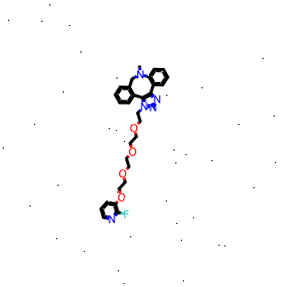 CN1Cc2ccccc2-c2c(nnn2CCOCCOCCOCCOc2cccnc2F)-c2ccccc21